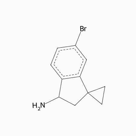 NC1CC2(CC2)c2cc(Br)ccc21